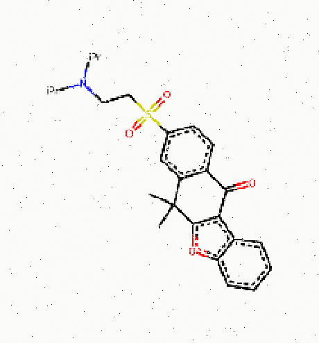 CC(C)N(CCS(=O)(=O)c1ccc2c(c1)C(C)(C)c1oc3ccccc3c1C2=O)C(C)C